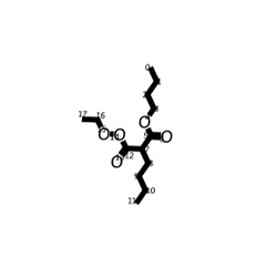 CCCCOC(=O)C(CCCC)C(=O)OOCC